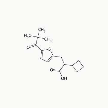 CC(C)(C)C(=O)c1ccc(CC(C(=O)O)C2CCC2)s1